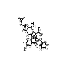 Cc1nn(CC2CC2)cc1Cc1cc(C(F)F)nn1-c1ccc(F)cc1[C@@H](C)OCc1ccccc1